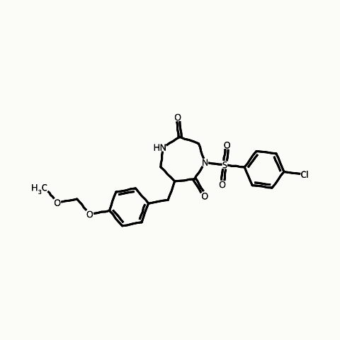 COCOc1ccc(CC2CNC(=O)CN(S(=O)(=O)c3ccc(Cl)cc3)C2=O)cc1